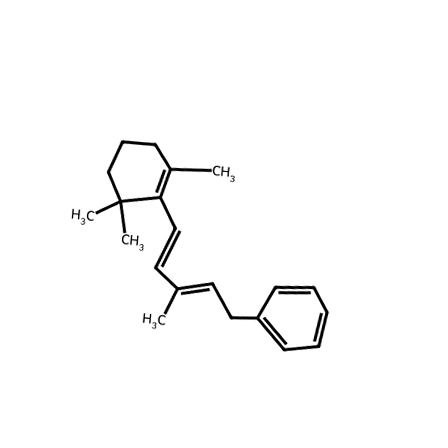 CC(C=CC1=C(C)CCCC1(C)C)=CCc1ccccc1